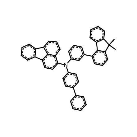 CC1(C)c2ccccc2-c2c(-c3cccc(N(c4ccc(-c5ccccc5)cc4)c4ccc5c6c(cccc46)-c4ccccc4-5)c3)cccc21